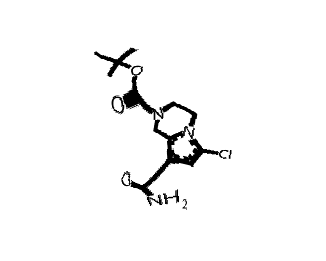 CC(C)(C)OC(=O)N1CCn2c(Cl)cc(C(N)=O)c2C1